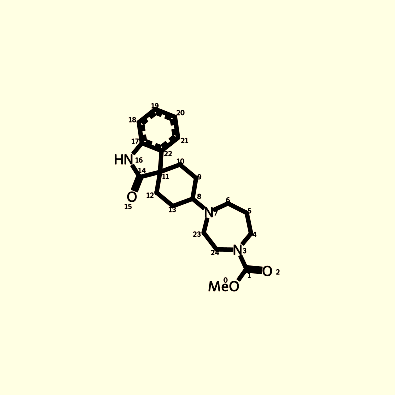 COC(=O)N1CCCN(C2CCC3(CC2)C(=O)Nc2ccccc23)CC1